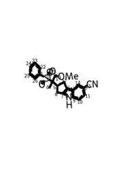 COC(=O)C(C)(C1Cc2[nH]c3ccc(C#N)cc3c2C1)S(=O)(=O)c1ccccc1